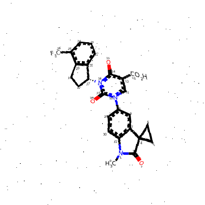 CN1C(=O)C2(CC2)c2cc(-n3cc(C(=O)O)c(=O)n([C@@H]4CCc5c4cccc5C(F)(F)F)c3=O)ccc21